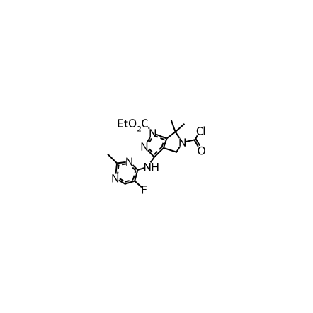 CCOC(=O)n1nc(Nc2nc(C)ncc2F)c2c1C(C)(C)N(C(=O)Cl)C2